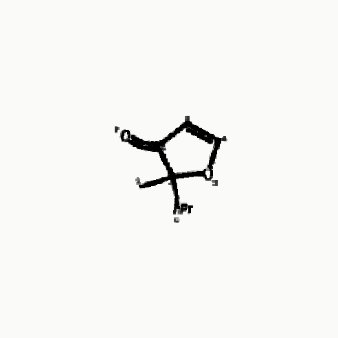 CCCC1(C)OC=CC1=O